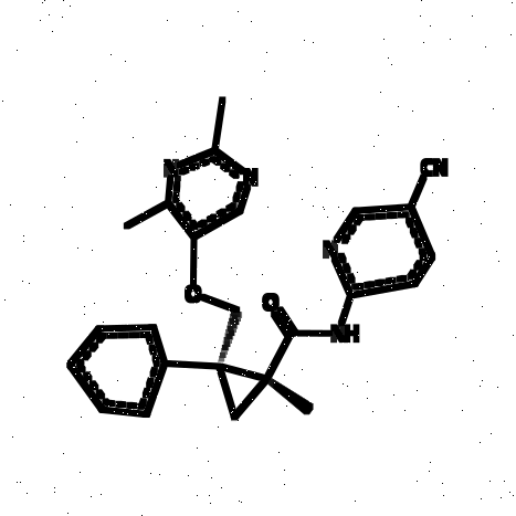 Cc1ncc(OC[C@@]2(c3ccccc3)C[C@@]2(C)C(=O)Nc2ccc(C#N)cn2)c(C)n1